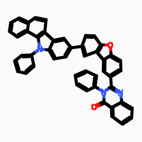 O=c1c2ccccc2nc(-c2ccc3oc4ccc(-c5ccc6c(c5)c5ccc7ccccc7c5n6-c5ccccc5)cc4c3c2)n1-c1ccccc1